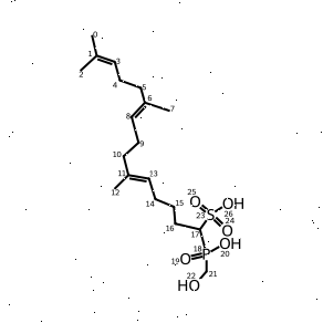 CC(C)=CCCC(C)=CCCC(C)=CCCCC(P(=O)(O)CO)S(=O)(=O)O